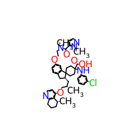 C[C@@H](COc1ccnc2c1[C@H](C)CCC2)C[C@H]1Cc2ccc(OCCN(C)C(=O)c3ccnn3C)cc2C12CCC(Nc1cccc(Cl)c1)(C(=O)O)CC2